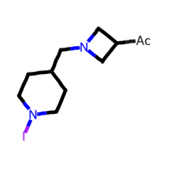 CC(=O)C1CN(CC2CCN(I)CC2)C1